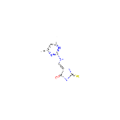 Cc1cc(C)nc(NC=C2NC(=S)NC2=O)n1